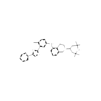 CC1(C)CC(N2CCc3c(cccc3Nc3ccc(Cl)c(-c4ncc(-c5ccccc5)[nH]4)c3)C2)CC(C)(C)N1